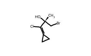 C[C@@](O)(CBr)C(Cl)=C1CC1